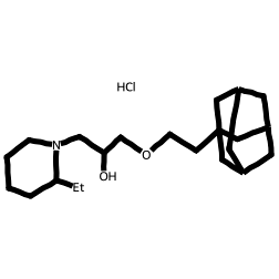 CCC1CCCCN1CC(O)COCCC12CC3CC(CC(C3)C1)C2.Cl